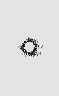 CCC(N)C(=O)NC1C(=O)N2CCCCC2C(=O)NC(C(C)C(=O)O)C(=O)NC(CC(=O)O)C(=O)NCC(=O)NC(CC(=O)O)C(=O)NCC(=O)NC(C(C)N)C(=O)NC(C(C)C)C(=O)N2CCCC2CC(=O)NC1C